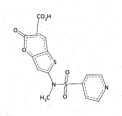 CN(c1cc2oc(=O)c(C(=O)O)cc2s1)S(=O)(=O)c1ccncc1